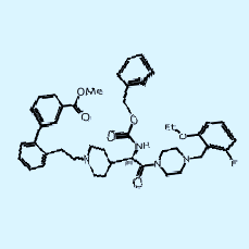 CCOc1cccc(F)c1CN1CCN(C(=O)[C@H](NC(=O)OCc2ccccc2)C2CCN(CCc3ccccc3-c3cccc(C(=O)OC)c3)CC2)CC1